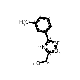 Cc1cccc(-c2noc(C[O])n2)c1